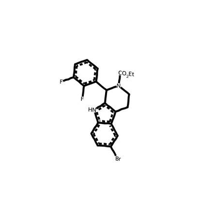 CCOC(=O)N1CCc2c([nH]c3ccc(Br)cc23)C1c1cccc(F)c1F